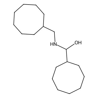 OC(NCC1CCCCCCC1)C1CCCCCCC1